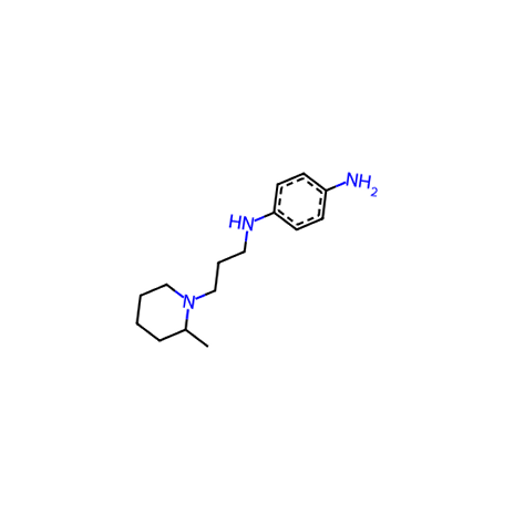 CC1CCCCN1CCCNc1ccc(N)cc1